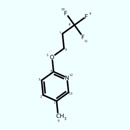 Cc1ccc(OCCC(F)(F)F)nc1